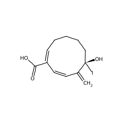 C=C1/C=C\C(C(=O)O)=C/CCCC[C@]1(O)I